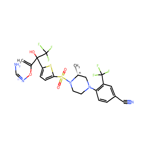 C=C(O/N=C\N)C(O)(c1ccc(S(=O)(=O)N2CCN(c3ccc(C#N)cc3C(F)(F)F)C[C@H]2C)s1)C(F)(F)F